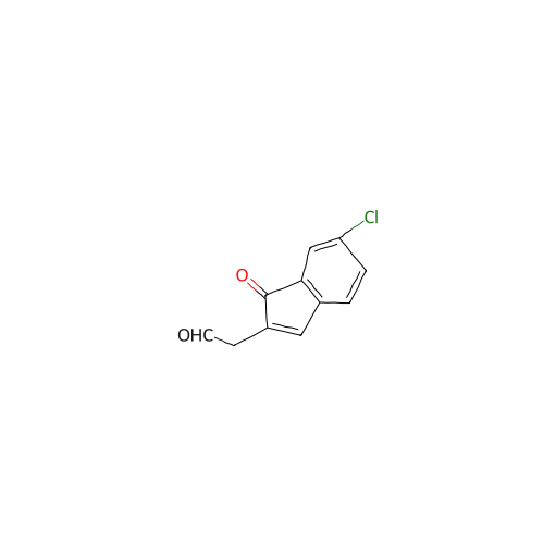 O=CCC1=Cc2ccc(Cl)cc2C1=O